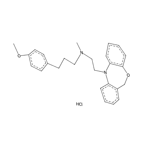 COc1ccc(CCCN(C)CCN2c3ccccc3COc3ccccc32)cc1.Cl